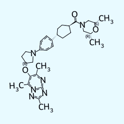 Cc1nc2nc(C)c(O[C@@H]3CCN(c4ccc([C@H]5CC[C@H](C(=O)N6C[C@@H](C)O[C@@H](C)C6)CC5)cc4)C3)c(C)n2n1